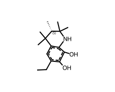 CCc1cc2c(c(O)c1O)NC(C)(C)[C@@H](C)C2(C)C